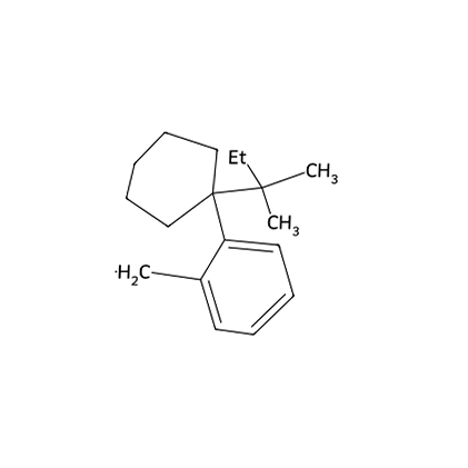 [CH2]c1ccccc1C1(C(C)(C)CC)CCCCC1